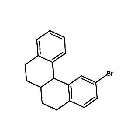 Brc1ccc2c(c1)C1c3ccccc3CCC1CC2